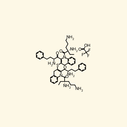 CC[C@](N)(CCCN)C(=O)N1C(C(=O)[C@@H](N)CCc2ccccc2)=C(SC2=C(C(=O)[C@@H](N)CCc3ccccc3)N(C(=O)[C@](N)(CC)CCCN)c3ccccc3C2)Cc2ccccc21.O=C(O)C(F)(F)F